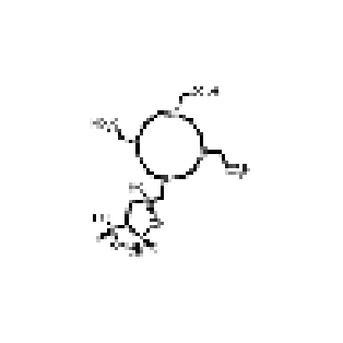 O=C(O)CN1CCN(CC(=O)O)CCN(CP(=O)(O)CC(P(=O)(O)O)P(=O)(O)O)CCN(CC(=O)O)CC1